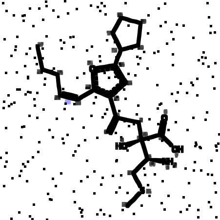 C=C(C[C@](O)(C(=O)O)[C@@H](N)CSC)c1cc(C2CCCC2)oc1/C=C\CCC